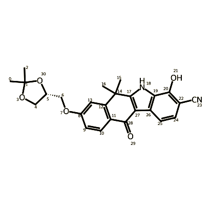 CC1(C)OC[C@@H](COc2ccc3c(c2)C(C)(C)c2[nH]c4c(O)c(C#N)ccc4c2C3=O)O1